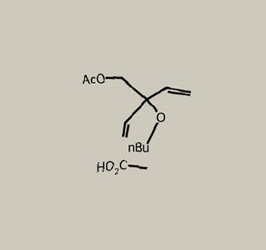 C=CC(C=C)(COC(C)=O)OCCCC.CC(=O)O